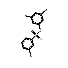 Cc1cc([O])cc(OS(=O)(=O)c2cccc(Cl)c2)c1